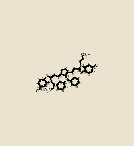 O=S(=O)(O)CCN1/C(=C\C=C2/CCC(/C=C/c3sc4ccc(Cl)cc4[n+]3CCS(=O)(=O)O)=C2N(c2ccccc2)c2ccccc2)Sc2ccc(Cl)cc21